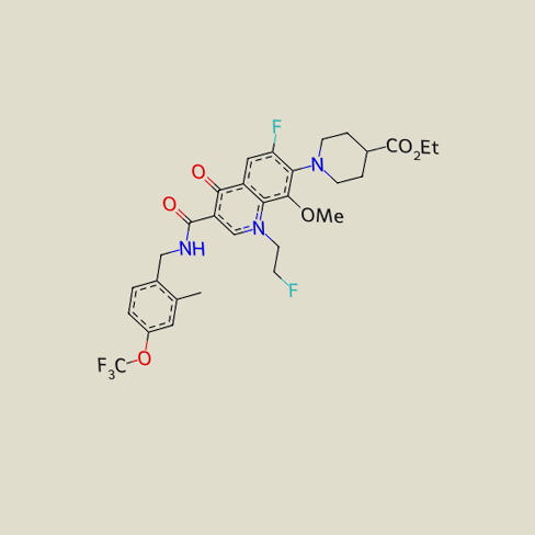 CCOC(=O)C1CCN(c2c(F)cc3c(=O)c(C(=O)NCc4ccc(OC(F)(F)F)cc4C)cn(CCF)c3c2OC)CC1